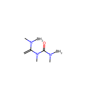 BN(C)C(=C)N(C)C(=O)N(B)C